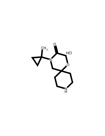 CC1(N2CC3(CCNCC3)OCC2=O)CC1.Cl